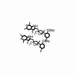 COc1ccc(F)cc1C(C)(C)CC(O)(Cc1cc2c(C)nc(C)cc2[nH]1)C(F)(F)F.COc1ccc(F)cc1C(C)(C)CC(O)(Cc1cc2cc(C)nc(C)c2[nH]1)C(F)(F)F